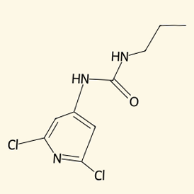 CCCNC(=O)Nc1cc(Cl)nc(Cl)c1